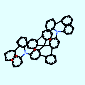 c1ccc(-c2ccccc2N(c2ccccc2)c2ccc3c(c2)C2(c4cc(N(c5ccccc5)c5ccccc5-c5ccccc5)ccc4-c4ccccc4-3)c3ccccc3-c3ccccc32)cc1